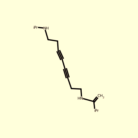 C=C(NCCC#CC#CCCNC(C)C)C(C)C